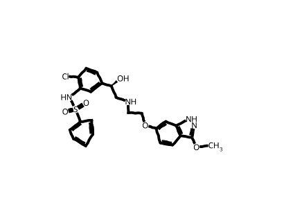 COc1n[nH]c2cc(OCCNC[C@H](O)c3ccc(Cl)c(NS(=O)(=O)c4ccccc4)c3)ccc12